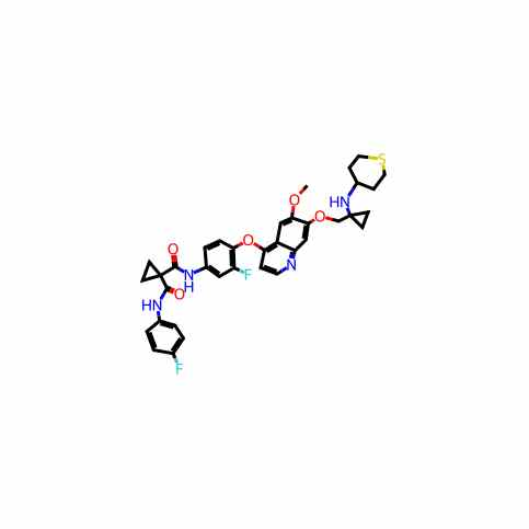 COc1cc2c(Oc3ccc(NC(=O)C4(C(=O)Nc5ccc(F)cc5)CC4)cc3F)ccnc2cc1OCC1(NC2CCSCC2)CC1